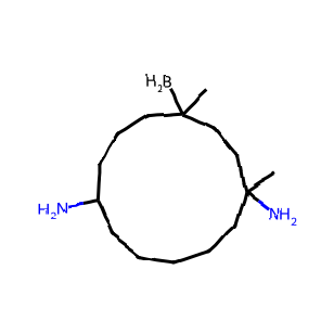 BC1(C)CCCC(N)CCCCCC(C)(N)CC1